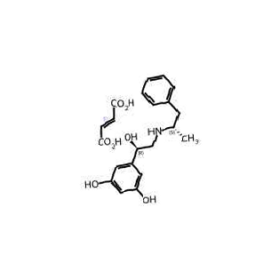 C[C@@H](Cc1ccccc1)NC[C@H](O)c1cc(O)cc(O)c1.O=C(O)/C=C/C(=O)O